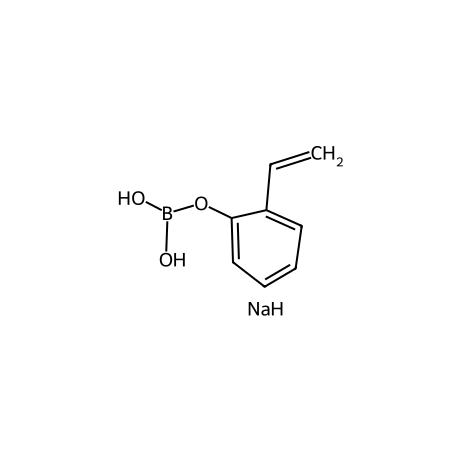 C=Cc1ccccc1OB(O)O.[NaH]